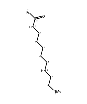 CNCCNCCCCCNC(=O)C(C)C